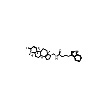 CN1C(=O)C=C[C@]2(C)[C@H]3CC[C@]4(C)[C@@H](CNC(=O)CCCc5c[nH]c6ccccc56)CC[C@H]4[C@@H]3CC[C@@H]12